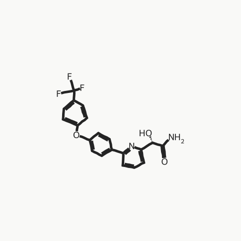 NC(=O)[C@@H](O)c1cccc(-c2ccc(Oc3ccc(C(F)(F)F)cc3)cc2)n1